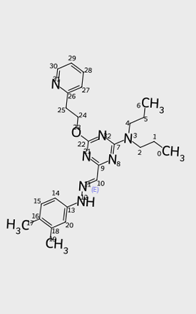 CCCN(CCC)c1nc(/C=N/Nc2ccc(C)c(C)c2)nc(OCCc2ccccn2)n1